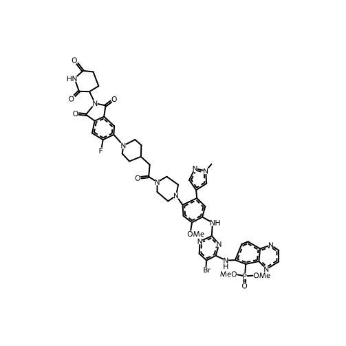 COc1cc(N2CCN(C(=O)CC3CCN(c4cc5c(cc4F)C(=O)N(C4CCC(=O)NC4=O)C5=O)CC3)CC2)c(-c2cnn(C)c2)cc1Nc1ncc(Br)c(Nc2ccc3nccnc3c2P(=O)(OC)OC)n1